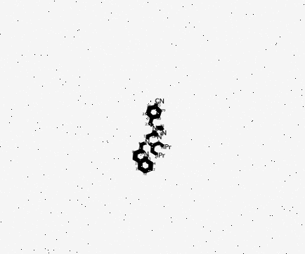 CC(C)CC(CC(C)C)N(Cc1ccc2ccccc2n1)Cc1nncn1Cc1ccc(C#N)cc1